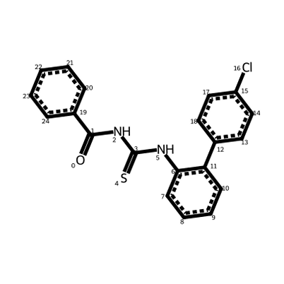 O=C(NC(=S)Nc1ccccc1-c1ccc(Cl)cc1)c1ccccc1